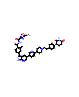 Cc1cc(-c2n[nH]c3ncc(-c4ccc(C5CCN(CCc6ccc([C@H]7CCC(=O)NC7=O)cc6)CC5)nc4)cc23)ccc1C(C)NC(=O)c1noc(C(C)(C)C)n1